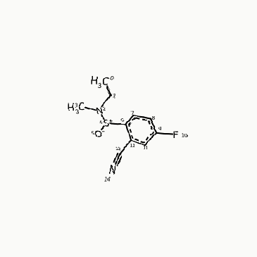 CCN(C)[S+]([O-])c1ccc(F)cc1C#N